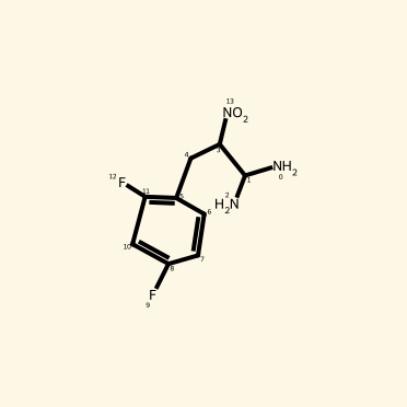 NC(N)C(Cc1ccc(F)cc1F)[N+](=O)[O-]